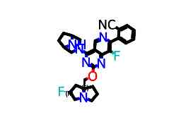 N#Cc1ccccc1-c1ncc2c(N3CC4CCC(C3)N4)nc(OC[C@@]34CCCN3C[C@H](F)C4)nc2c1F